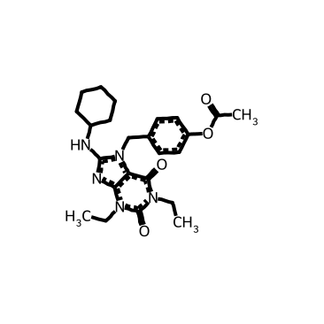 CCn1c(=O)c2c(nc(NC3CCCCC3)n2Cc2ccc(OC(C)=O)cc2)n(CC)c1=O